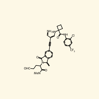 C=C1c2ccc(C#C/C(C=N)=C/NC3(C(=O)Nc4ccc(C(F)(F)F)cc4Cl)CCC3)cc2C(=O)N1C(CCC=O)C(=O)NC